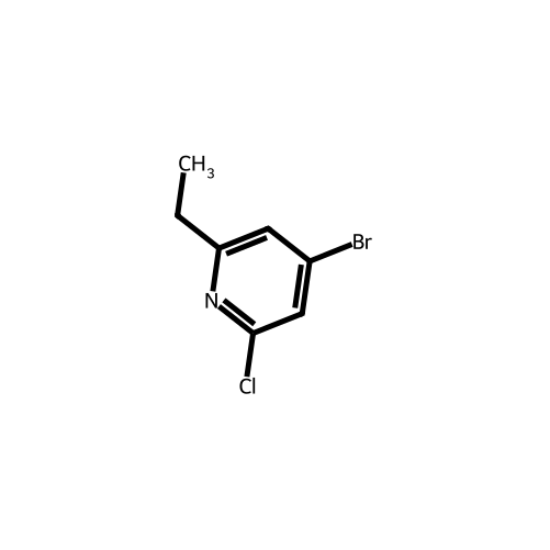 CCc1cc(Br)cc(Cl)n1